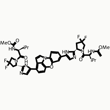 C=C(N[C@H](C(=O)N1CC(F)(F)C[C@H]1c1ncc(-c2ccc3c(c2)Oc2ccc(-c4cnc([C@@H]5CC(F)(F)CN5C(=O)[C@@H](NC(=O)OC)C(C)C)[nH]4)c4ccn-3c24)[nH]1)C(C)C)OC